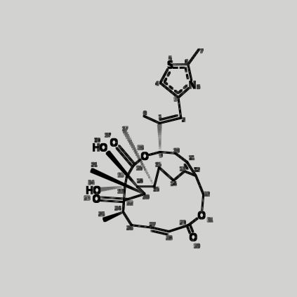 C/C(=C\c1csc(C)n1)[C@@H]1C/C=C2\CCC[C@H](C)[C@H](O)[C@@H](C)C(=O)[C@](C)(C/C=C/C(=O)OC2)[C@@H](O)CC(=O)O1